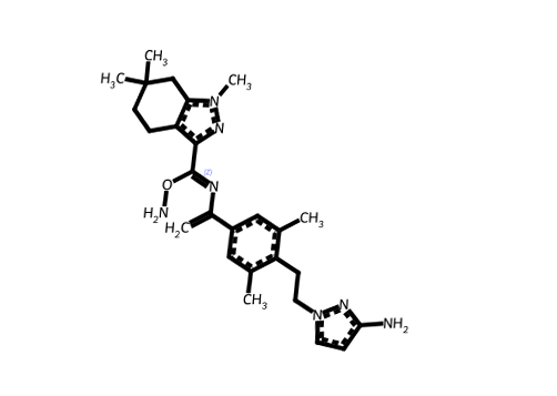 C=C(/N=C(\ON)c1nn(C)c2c1CCC(C)(C)C2)c1cc(C)c(CCn2ccc(N)n2)c(C)c1